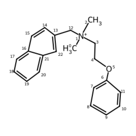 C[N+](C)(CCOc1ccccc1)Cc1ccc2ccccc2c1